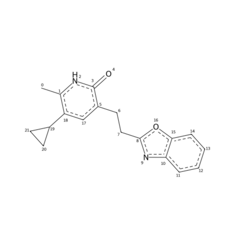 Cc1[nH]c(=O)c(CCc2nc3ccccc3o2)cc1C1CC1